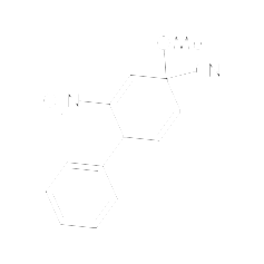 COC1(C#N)C=CC(c2ccccc2)C([N+](=O)[O-])=C1